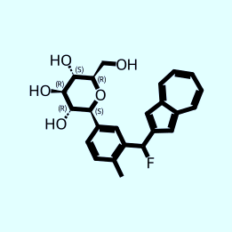 Cc1ccc([C@@H]2O[C@H](CO)[C@@H](O)[C@H](O)[C@H]2O)cc1C(F)c1cc2cccccc-2c1